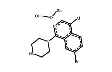 CC(C)(C)OC=O.Clc1cnc(N2CCNCC2)c2cc(Br)ccc12